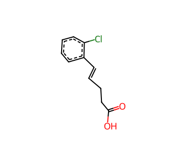 O=C(O)CCC=Cc1ccccc1Cl